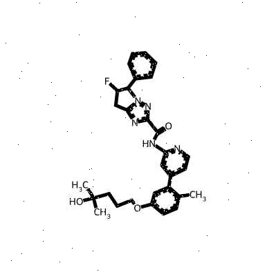 Cc1ccc(OCCCC(C)(C)O)cc1-c1ccnc(NC(=O)c2nc3n(n2)C(c2ccccc2)C(F)C3)c1